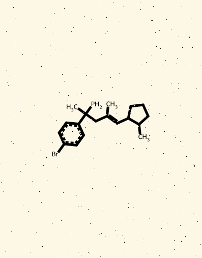 C/C(=C\C1CCCC1C)CC(C)(P)c1ccc(Br)cc1